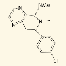 CNC1c2nccnc2C=C(c2ccc(Cl)cc2)N1C